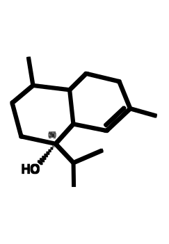 CC1=CC2C(CC1)C(C)CC[C@]2(O)C(C)C